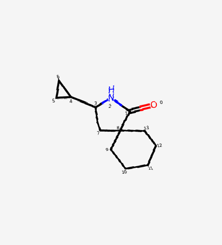 O=C1NC(C2CC2)CC12CCCCC2